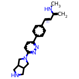 C=C(/C=C/c1ccc(-c2ccc(N3CC4CNCC4C3)nn2)cc1)NC